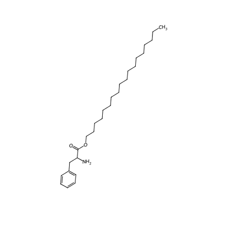 CCCCCCCCCCCCCCCCCCOC(=O)C(N)Cc1ccccc1